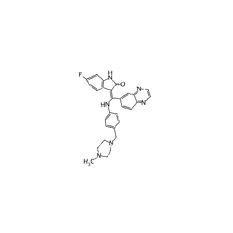 CN1CCN(Cc2ccc(NC(=C3C(=O)Nc4cc(F)ccc43)c3ccc4nccnc4c3)cc2)CC1